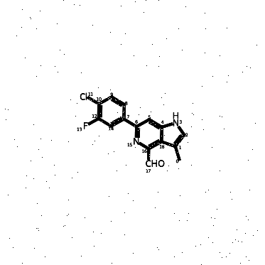 Cc1c[nH]c2cc(-c3ccc(Cl)c(F)c3)nc(C=O)c12